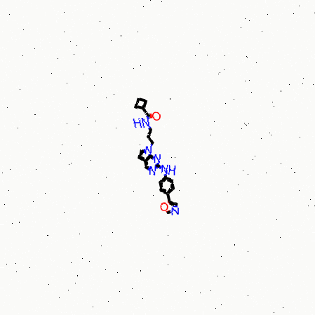 O=C(NCCCn1ccc2cnc(Nc3ccc(-c4cnco4)cc3)nc21)C1CCC1